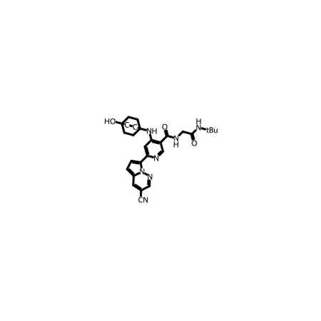 CC(C)(C)NC(=O)CNC(=O)c1cnc(-c2ccc3cc(C#N)cnn23)cc1NC12CCC(O)(CC1)CC2